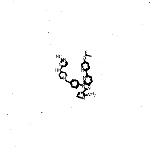 N#Cc1nccc(NC2CCN(Cc3ccc(-n4c(-c5cccnc5N)nc5ccc(-c6ccc(OC(F)F)cn6)nc54)cc3)CC2)n1